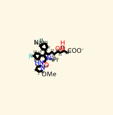 COc1cccc(NC(=O)c2c(-c3ccc(F)cc3)c(-c3ccc(F)cc3)c(CC[C@@H](O)C[C@@H](O)CC(=O)[O-])n2C(C)C)n1.[Na+]